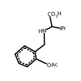 CC(=O)Oc1ccccc1CNC(C(=O)O)C(C)C